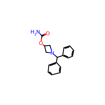 NC(=O)OC1CN(C(c2ccccc2)c2ccccc2)C1